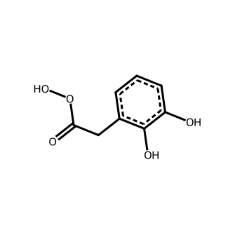 O=C(Cc1cccc(O)c1O)OO